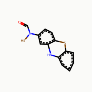 O=CN(S)c1ccc2c(c1)Nc1ccccc1S2